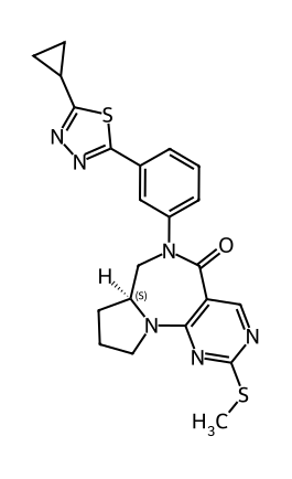 CSc1ncc2c(n1)N1CCC[C@H]1CN(c1cccc(-c3nnc(C4CC4)s3)c1)C2=O